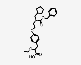 CCOC(Cc1ccc(OCCN(CC2CCCC2)C(=O)OCc2ccccc2)cc1)C(=O)O